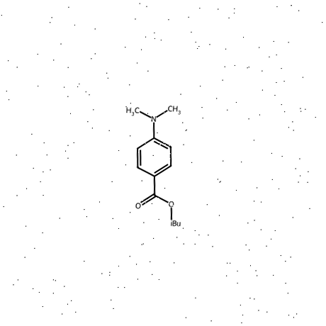 CCC(C)OC(=O)c1ccc(N(C)C)cc1